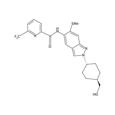 CSc1cc2nn([C@H]3CC[C@H](CO)CC3)cc2cc1NC(=O)c1cccc(C(F)(F)F)n1